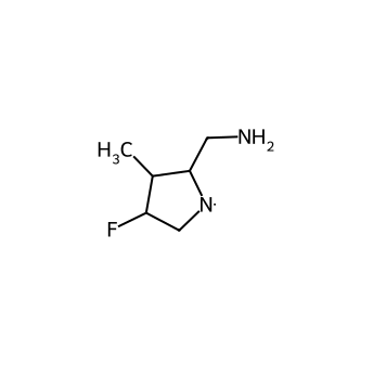 CC1C(F)C[N]C1CN